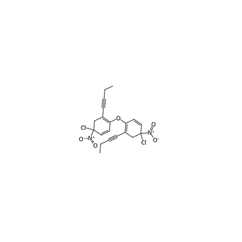 CCC#CC1=C(OC2=C(C#CCC)CC(Cl)([N+](=O)[O-])C=C2)C=CC(Cl)([N+](=O)[O-])C1